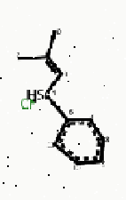 CC(C)=C[SiH](Cl)c1ccccc1